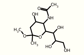 COC1(C)CC(O)C(NC(C)=O)C(C(O)C(O)CO)O1